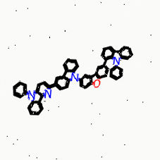 c1ccc(-n2c3ccccc3c3nc(-c4ccc5c(c4)c4ccccc4n5-c4ccc5oc6ccc(-c7cccc8c9ccccc9n(-c9ccccc9)c78)cc6c5c4)ccc32)cc1